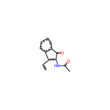 C=CC1=C(NC(C)=O)C(=O)c2ccccc21